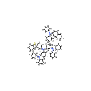 c1ccc(N(c2ccccc2)c2cc(-c3ccc4c(c3)c3c5ccccc5ccc3n4-c3ccccc3)cc(N(c3ccc4sc5ccccc5c4c3)c3ccc4c5ccccc5n(-c5ccccc5)c4c3)c2)cc1